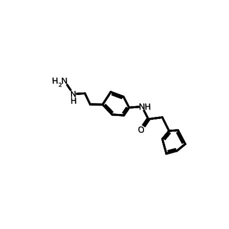 NNCCc1ccc(NC(=O)Cc2ccccc2)cc1